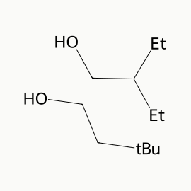 CC(C)(C)CCO.CCC(CC)CO